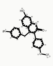 CC(C)c1ccc(Cc2c(-c3ccc(OC(F)(F)F)cc3)c(=O)oc3cc(O)ccc23)cc1